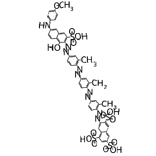 COc1ccc(Nc2ccc3c(O)c(N=Nc4ccc(N=Nc5ccc(N=Nc6ccc(N=Nc7cc8c(S(=O)(=O)O)cc(S(=O)(=O)O)cc8cc7S(=O)(=O)O)c(C)c6)c(C)c5)c(C)c4)c(S(=O)(=O)O)cc3c2)cc1